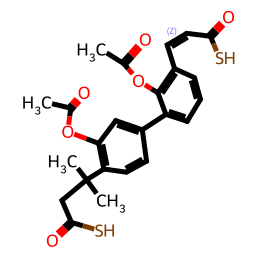 CC(=O)Oc1cc(-c2cccc(/C=C\C(=O)S)c2OC(C)=O)ccc1C(C)(C)CC(=O)S